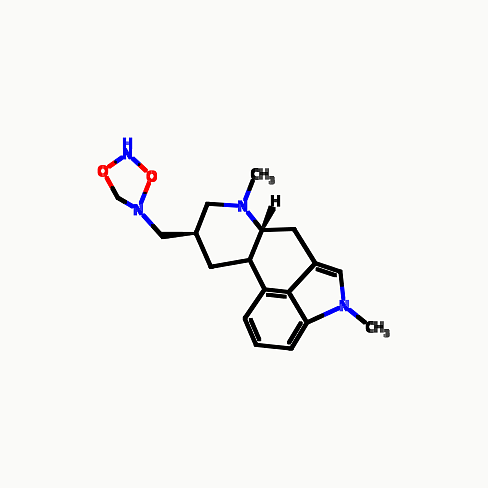 CN1C[C@H](CN2CONO2)CC2c3cccc4c3c(cn4C)C[C@H]21